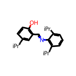 CC(C)c1ccc(O)c(C=Nc2c(C(C)C)cccc2C(C)C)c1